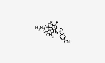 C[C@@H]1SC(N)=N[C@](C)(c2cc(NC(=O)c3ccc(C#N)cn3)cc(F)c2F)[C@@H]1C